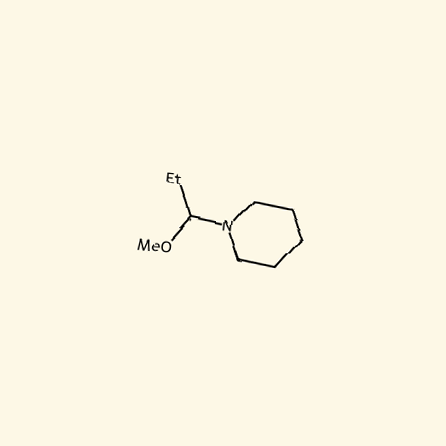 CC[C](OC)N1CCCCC1